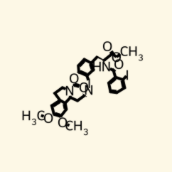 COC(=O)[C@H](Cc1ccc(OC(=O)N2CCc3cc(OC)c(OC)cc3C2CC#N)c(I)c1)NC(=O)c1ccccc1I